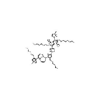 CCCCCCCCN1C(=O)C2=C(c3ccc(-c4cc(CCCCCC)c(C5=CC=CC6=C(c7sc(C)cc7CCCCCC)C=CC=C5C6)s4)s3)N(CCCCCCCC)C(=O)C2=C1c1ccc(C)s1